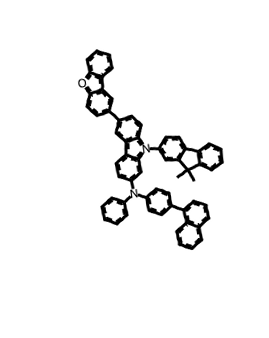 CC1(C)c2ccccc2-c2ccc(-n3c4ccc(-c5ccc6oc7ccccc7c6c5)cc4c4ccc(N(c5ccccc5)c5ccc(-c6cccc7ccccc67)cc5)cc43)cc21